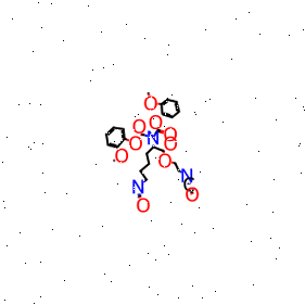 COc1ccccc1OC(=O)N(C(=O)Oc1ccccc1OC)C(CCCCN=C=O)C(=O)OCCN=C=O